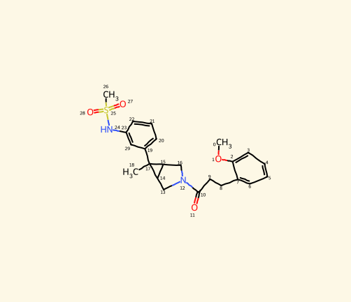 COc1ccccc1CCC(=O)N1CC2C(C1)C2(C)c1cccc(NS(C)(=O)=O)c1